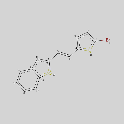 Brc1ccc(/C=C/c2cc3ccccc3s2)s1